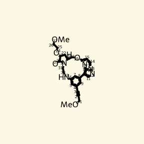 COCC#Cc1cc2cc(c1)-c1cnn3ccc(nc13)OC[C@@H]1C[C@@H](OCCOC)C(=O)N1CCN2